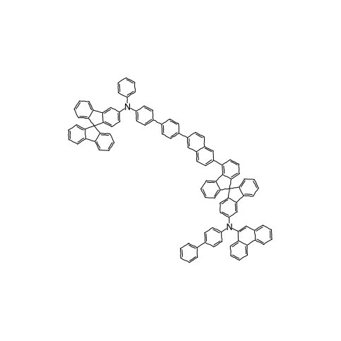 c1ccc(-c2ccc(N(c3ccc4c(c3)-c3ccccc3C43c4ccccc4-c4c(-c5ccc6cc(-c7ccc(-c8ccc(N(c9ccccc9)c9ccc%10c(c9)-c9ccccc9C%109c%10ccccc%10-c%10ccccc%109)cc8)cc7)ccc6c5)cccc43)c3cc4ccccc4c4ccccc34)cc2)cc1